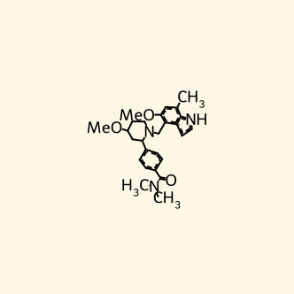 COc1cc(C)c2[nH]ccc2c1CN1CCC(OC)CC1c1ccc(C(=O)N(C)C)cc1